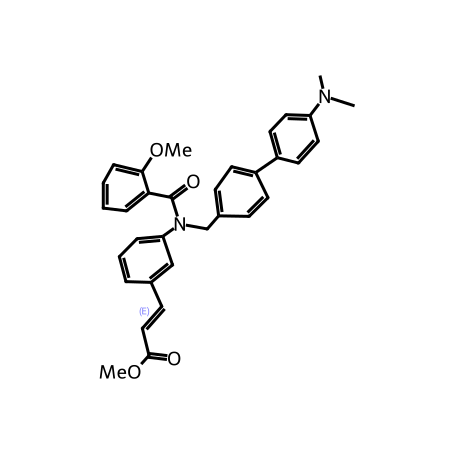 COC(=O)/C=C/c1cccc(N(Cc2ccc(-c3ccc(N(C)C)cc3)cc2)C(=O)c2ccccc2OC)c1